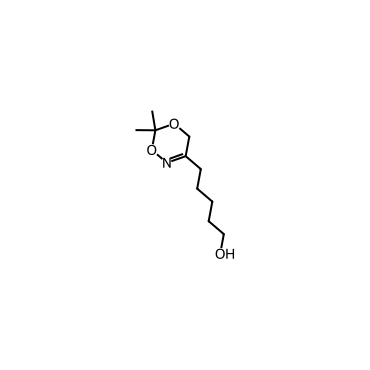 CC1(C)OCC(CCCCCO)=NO1